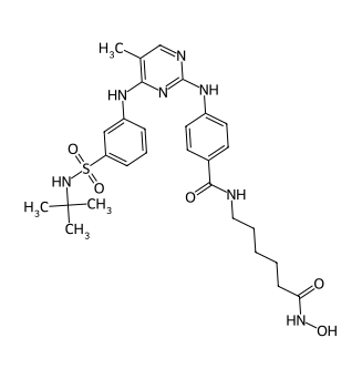 Cc1cnc(Nc2ccc(C(=O)NCCCCCC(=O)NO)cc2)nc1Nc1cccc(S(=O)(=O)NC(C)(C)C)c1